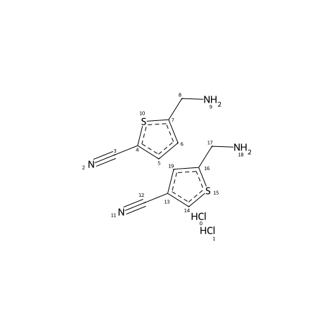 Cl.Cl.N#Cc1ccc(CN)s1.N#Cc1csc(CN)c1